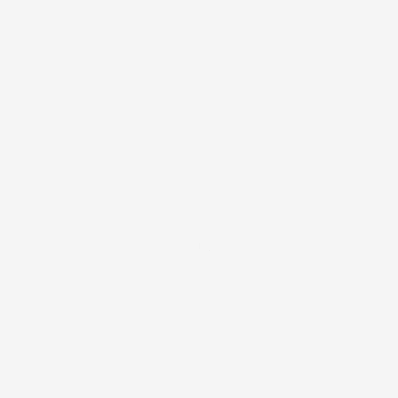 Cc1cccc2sc(Cl)cc12